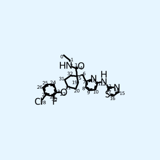 CCNC(=O)[C@]1(Cc2cccc(Nc3nccs3)n2)CC[C@@H](Oc2cccc(Cl)c2F)CC1